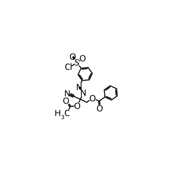 CC(=O)OC(C#N)(COC(=O)c1ccccc1)N=Nc1cccc(S(=O)(=O)Cl)c1